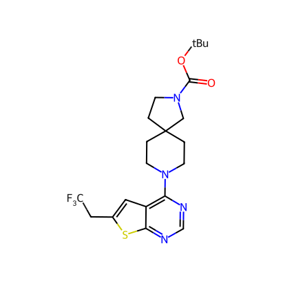 CC(C)(C)OC(=O)N1CCC2(CCN(c3ncnc4sc(CC(F)(F)F)cc34)CC2)C1